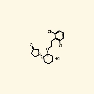 Cl.O=C1CCN([C@H]2CCCC[C@@H]2OCCc2c(Cl)cccc2Cl)C1